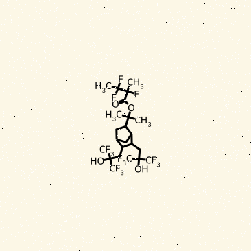 CC(C)(OC(=O)C(C)(F)C(C)(F)F)C1CC2CC1C(CC(O)(C(F)(F)F)C(F)(F)F)C2CC(O)(C(F)(F)F)C(F)(F)F